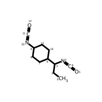 CCC(N=C=O)C1CCC(N=C=O)CC1